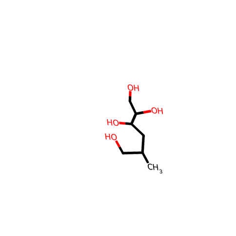 CC(CO)CC(O)C(O)CO